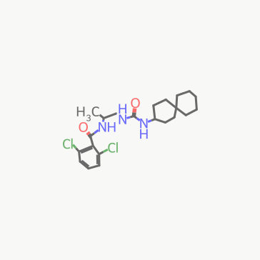 CC(CNC(=O)NC1CCC2(CCCCC2)CC1)NC(=O)c1c(Cl)cccc1Cl